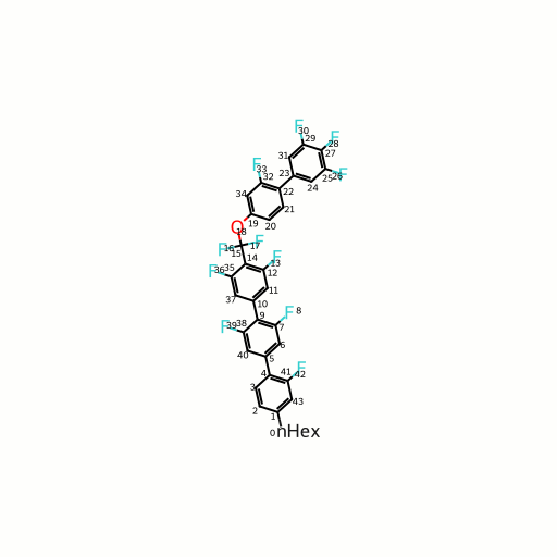 CCCCCCc1ccc(-c2cc(F)c(-c3cc(F)c(C(F)(F)Oc4ccc(-c5cc(F)c(F)c(F)c5)c(F)c4)c(F)c3)c(F)c2)c(F)c1